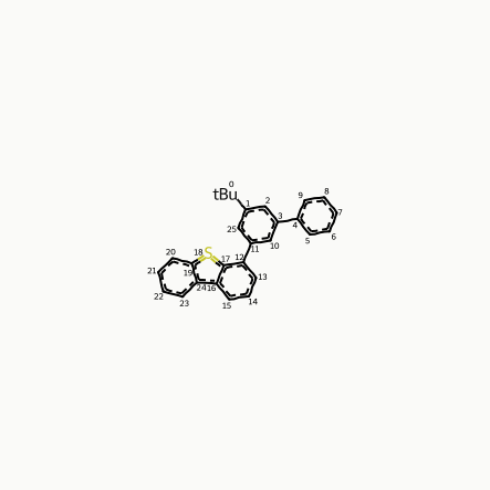 CC(C)(C)c1cc(-c2ccccc2)cc(-c2cccc3c2sc2ccccc23)c1